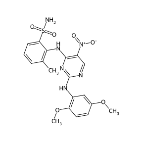 COc1ccc(OC)c(Nc2ncc([N+](=O)[O-])c(Nc3c(C)cccc3S(N)(=O)=O)n2)c1